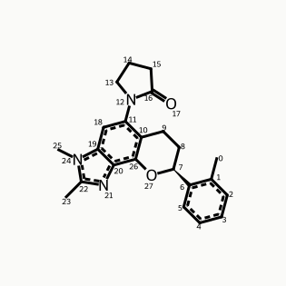 Cc1ccccc1[C@@H]1CCc2c(N3CCCC3=O)cc3c(nc(C)n3C)c2O1